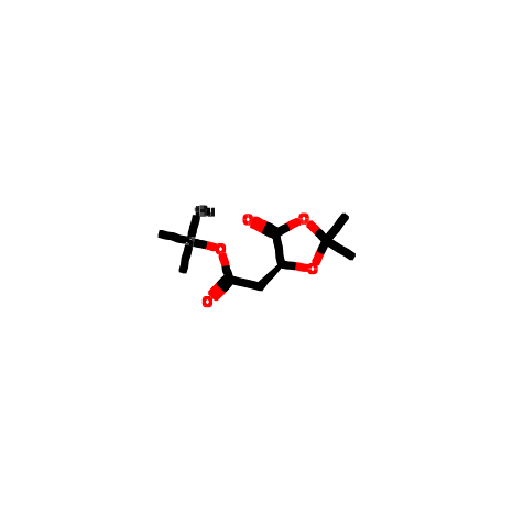 CC1(C)OC(=O)[C@H](CC(=O)O[Si](C)(C)C(C)(C)C)O1